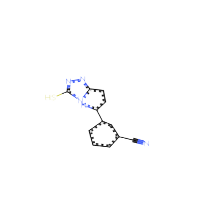 N#Cc1cccc(-c2ccc3nnc(S)n3n2)c1